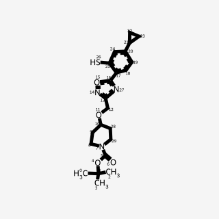 CC(C)(C)OC(=O)N1CCC(OCc2noc(-c3ccc(C4CC4)cc3S)n2)CC1